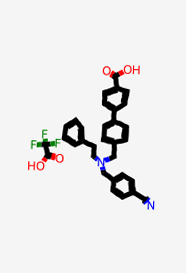 N#Cc1ccc(CN(CCc2ccccc2)Cc2ccc(-c3ccc(C(=O)O)cc3)cc2)cc1.O=C(O)C(F)(F)F